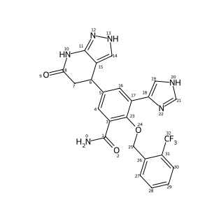 NC(=O)c1cc(C2CC(=O)Nc3n[nH]cc32)cc(-c2c[nH]cn2)c1OCc1ccccc1C(F)(F)F